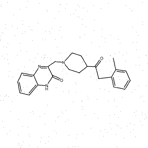 Cc1ccccc1CC(=O)C1CCN(Cc2nc3ccccc3[nH]c2=O)CC1